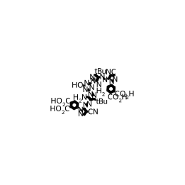 CC(C)(C)c1nn(-c2nc(O)nc(-n3nc(C(C)(C)C)c(N=Nc4c(C#N)cnn4-c4ccc(C(=O)O)c(C(=O)O)c4)c3N)n2)c(N)c1N=Nc1c(C#N)cnn1-c1ccc(C(=O)O)c(C(=O)O)c1